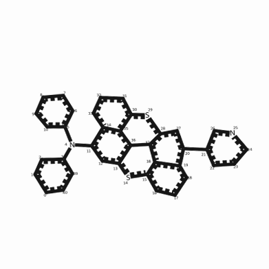 c1ccc(N(c2ccccc2)c2cc3sc4cccc5c(-c6cccnc6)cc6sc7cccc2c7c3-c6c45)cc1